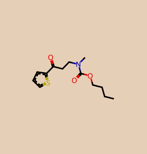 CCCCOC(=O)N(C)CCC(=O)c1cccs1